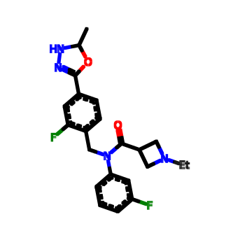 CCN1CC(C(=O)N(Cc2ccc(C3=NNC(C)O3)cc2F)c2cccc(F)c2)C1